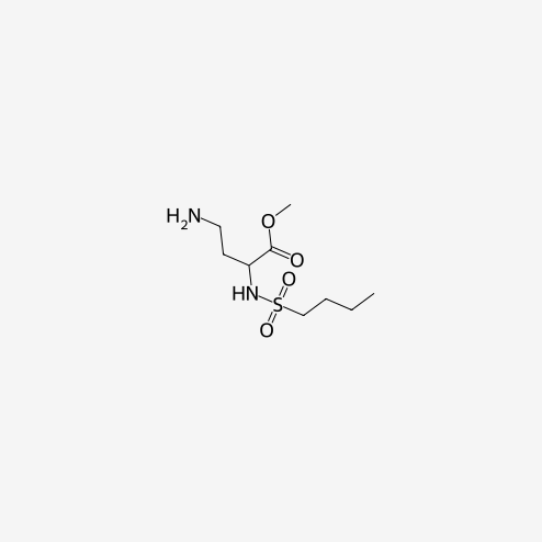 CCCCS(=O)(=O)NC(CCN)C(=O)OC